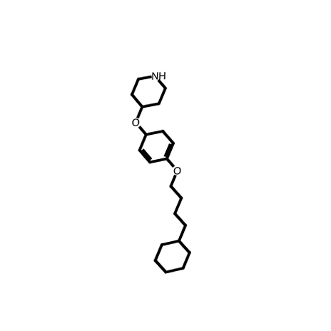 C1=CC(OC2CCNCC2)CC=C1OCCCCC1CCCCC1